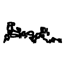 COc1cc2c(Oc3ccc(NC(=O)c4c5c(cn(-c6ccc(F)cc6)c4=O)CCO5)cc3F)ccnc2cc1OCCCN1CC(C#N)C1